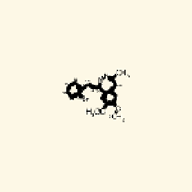 COc1cc2c(cc1OC)C(C=Cc1ccccc1Br)=NN=C(C)C2